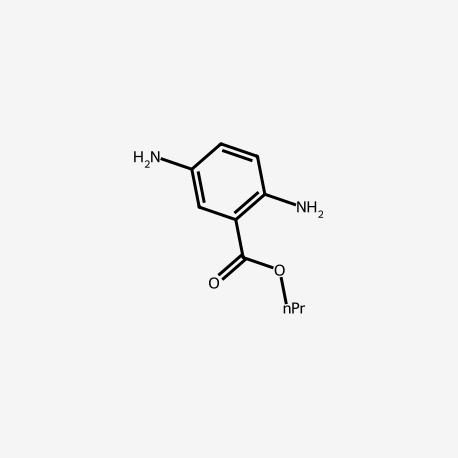 CCCOC(=O)c1cc(N)ccc1N